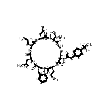 CC(C)C[C@@H]1NC(=O)[C@@H](Cc2ccccc2)NC(=O)[C@H](CCN)NC(=O)[C@@H](NC(=O)Cc2ccc(C(C)(F)F)cc2)CCNC(=O)[C@H]([C@@H](C)O)NC(=O)[C@H](CCN)NC(=O)[C@H](CCN)NC1=O